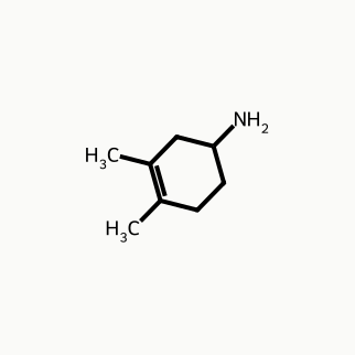 CC1=C(C)CC(N)CC1